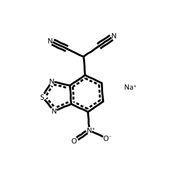 N#CC(C#N)c1ccc([N+](=O)[O-])c2nsnc12.[Na+]